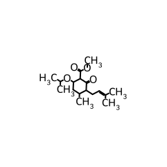 COC(=O)C1C(=O)C(CC=C(C)C)C(C)CC1OC(C)C